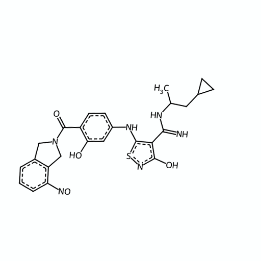 CC(CC1CC1)NC(=N)c1c(O)nsc1Nc1ccc(C(=O)N2Cc3cccc(N=O)c3C2)c(O)c1